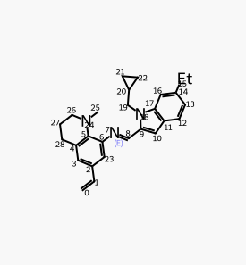 C=Cc1cc2c(c(/N=C/c3cc4ccc(CC)cc4n3CC3CC3)c1)N(C)CCC2